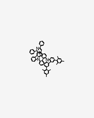 Cc1cc(C)c(-c2ccc3c(c2)c2cc(-c4c(C)cc(C)cc4C)ccc2n3-c2ccc(-c3cc(-c4ccccc4)nc(-c4ccccc4)n3)cc2-c2ccccc2-n2c3ccccc3c3ccccc32)c(C)c1